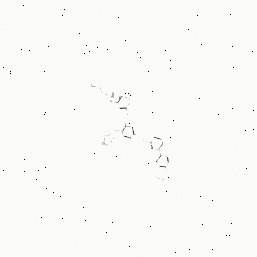 Cc1c(COc2cc(OCc3cncc(C(=O)NCCC(=O)O)c3)c(CN3CC[C@H](O)C3)cc2Cl)cccc1-c1ccc2c(c1)OCCO2